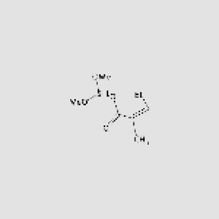 CCC=C(C)C(=O)O[SiH](OC)OC